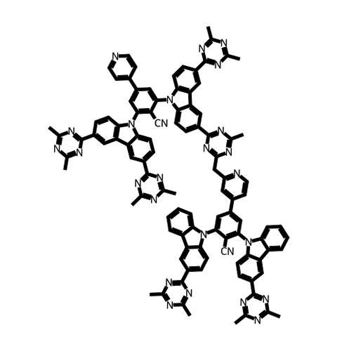 Cc1nc(C)nc(-c2ccc3c(c2)c2ccccc2n3-c2cc(-c3ccnc(Cc4nc(C)nc(-c5ccc6c(c5)c5cc(-c7nc(C)nc(C)n7)ccc5n6-c5cc(-c6ccncc6)cc(-n6c7ccc(-c8nc(C)nc(C)n8)cc7c7cc(-c8nc(C)nc(C)n8)ccc76)c5C#N)n4)c3)cc(-n3c4ccccc4c4cc(-c5nc(C)nc(C)n5)ccc43)c2C#N)n1